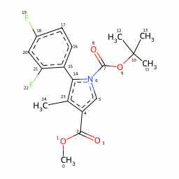 COC(=O)c1cn(C(=O)OC(C)(C)C)c(-c2ccc(F)cc2F)c1C